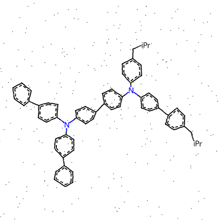 CC(C)Cc1ccc(-c2ccc(N(c3ccc(CC(C)C)cc3)c3ccc(-c4ccc(N(c5ccc(-c6ccccc6)cc5)c5ccc(-c6ccccc6)cc5)cc4)cc3)cc2)cc1